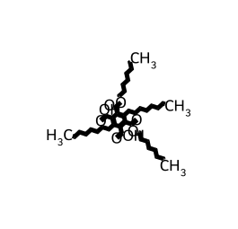 CCCCCCCCOC(=O)c1c(CCCCCCCC)c(C(=O)OCCCCCCCC)c(C(=O)O)c(CCCCCCCC)c1C(=O)O